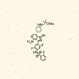 COC(C)(C)CN[C@H]1CC[C@H](c2cnc(N)c3c(-c4cc(F)c(NS(=O)(=O)c5ccccc5F)cc4F)nn(C(C)C)c32)CC1